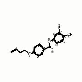 C=CCCOc1ccc(C(=O)Oc2ccc(C#N)c(F)c2)cc1